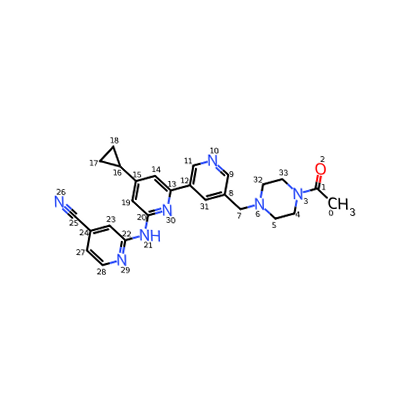 CC(=O)N1CCN(Cc2cncc(-c3cc(C4CC4)cc(Nc4cc(C#N)ccn4)n3)c2)CC1